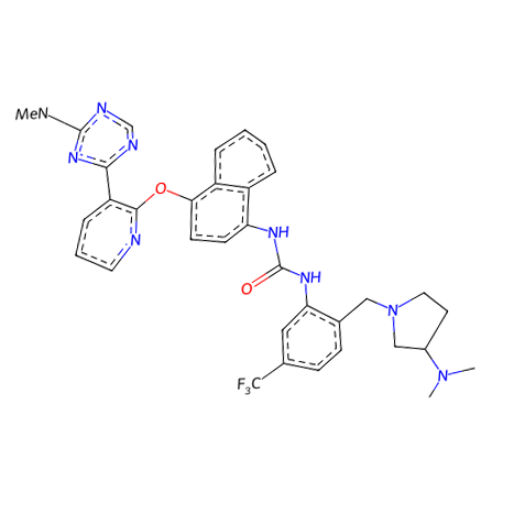 CNc1ncnc(-c2cccnc2Oc2ccc(NC(=O)Nc3cc(C(F)(F)F)ccc3CN3CCC(N(C)C)C3)c3ccccc23)n1